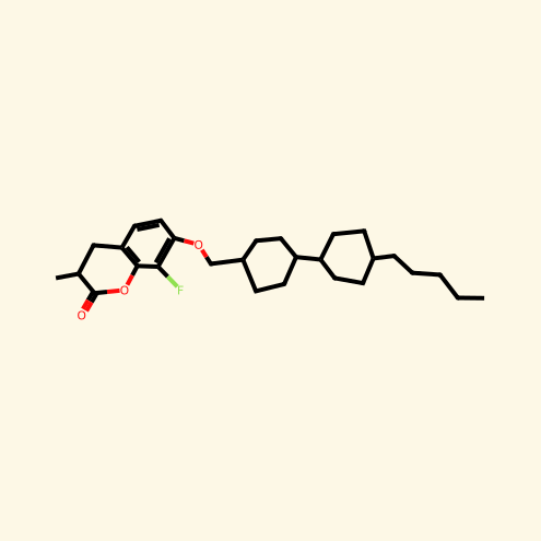 CCCCCC1CCC(C2CCC(COc3ccc4c(c3F)OC(=O)C(C)C4)CC2)CC1